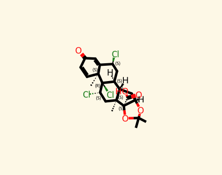 CC1(C)O[C@@H]2C[C@H]3[C@@H]4C[C@H](Cl)C5=CC(=O)C=C[C@]5(C)[C@@]4(Cl)[C@@H](Cl)C[C@]3(C)[C@]2(C(=O)O)O1